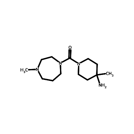 CN1CCCN(C(=O)N2CCC(C)(N)CC2)CC1